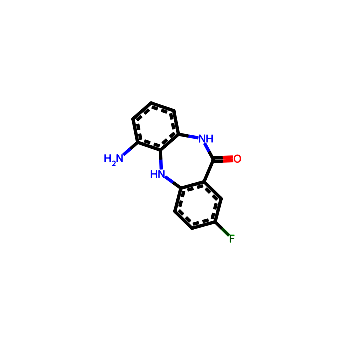 Nc1cccc2c1Nc1ccc(F)cc1C(=O)N2